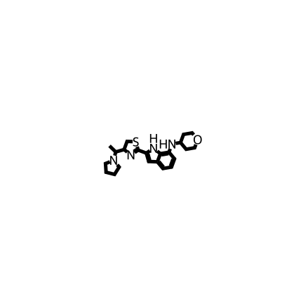 CC(C1CSC(c2cc3cccc(NC4CCOCC4)c3[nH]2)=N1)N1CCCC1